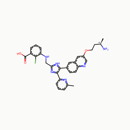 Cc1cccc(-c2nc(CNc3cccc(C(=O)O)c3F)[nH]c2-c2ccc3ncc(OCC[C@@H](C)N)cc3c2)n1